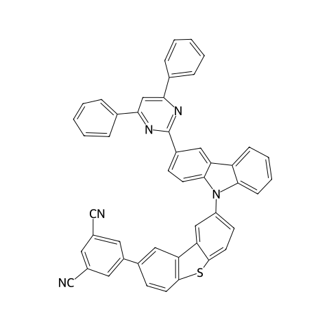 N#Cc1cc(C#N)cc(-c2ccc3sc4ccc(-n5c6ccccc6c6cc(-c7nc(-c8ccccc8)cc(-c8ccccc8)n7)ccc65)cc4c3c2)c1